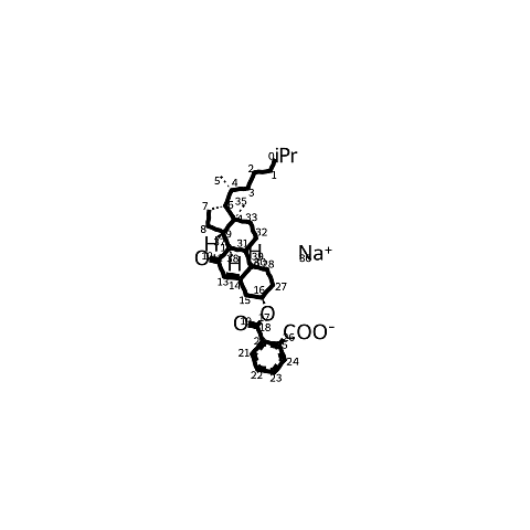 CC(C)CCC[C@@H](C)[C@H]1CC[C@H]2[C@@H]3C(=O)C=C4C[C@@H](OC(=O)c5ccccc5C(=O)[O-])CC[C@]4(C)[C@H]3CC[C@]12C.[Na+]